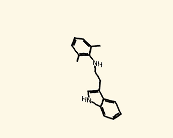 Cc1cccc(C)c1NCCc1c[nH]c2ccccc12